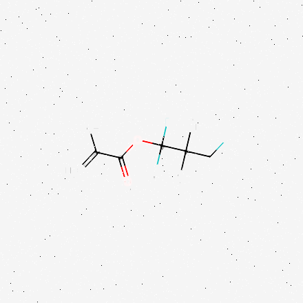 C=C(C)C(=O)OC(F)(F)C(C)(CF)C(F)(F)F